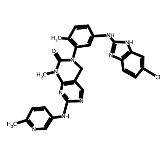 Cc1ccc(Nc2ncc3c(n2)N(C)C(=O)N(c2cc(Nc4nc5ccc(Cl)cc5[nH]4)ccc2C)C3)cn1